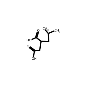 CC(C)CC(CC(=O)O)C(=O)O